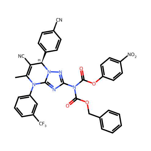 CC1=C(C#N)[C@@H](c2ccc(C#N)cc2)n2nc(N(C(=O)OCc3ccccc3)C(=O)Oc3ccc([N+](=O)[O-])cc3)nc2N1c1cccc(C(F)(F)F)c1